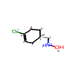 ONC[C@@H]1CC=C(Cl)CC1